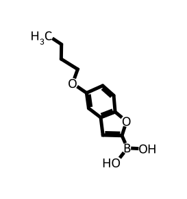 CCCCOc1ccc2oc(B(O)O)cc2c1